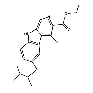 CCOC(=O)c1ncc2[nH]c3ccc(CC(C)C(C)C)cc3c2c1C